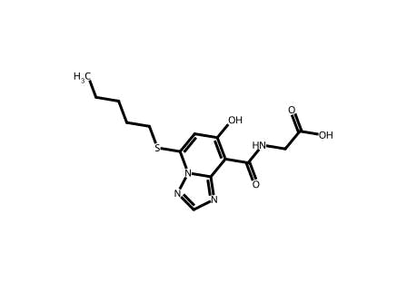 CCCCCSc1cc(O)c(C(=O)NCC(=O)O)c2ncnn12